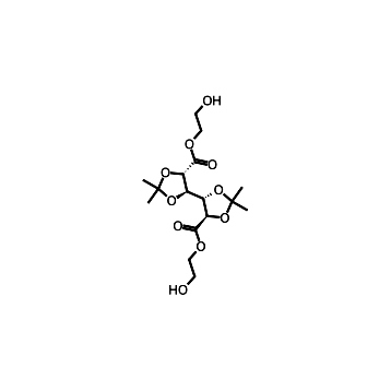 CC1(C)O[C@H]([C@@H]2OC(C)(C)O[C@H]2C(=O)OCCO)[C@@H](C(=O)OCCO)O1